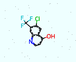 Oc1ccnc2cc(C(F)(F)F)c(Cl)cc12